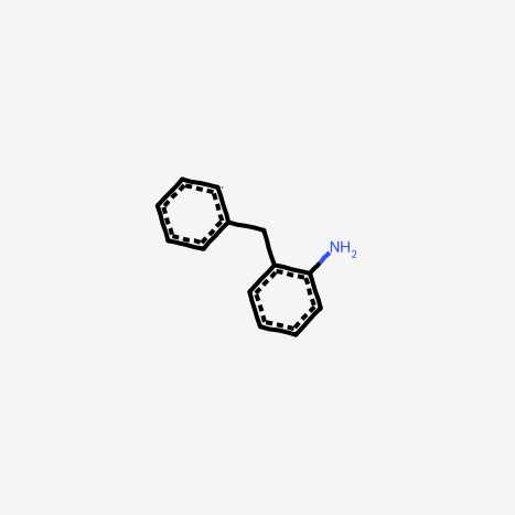 Nc1ccccc1Cc1[c]cccc1